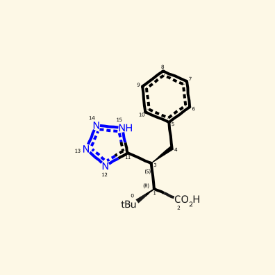 CC(C)(C)[C@H](C(=O)O)[C@H](Cc1ccccc1)c1nnn[nH]1